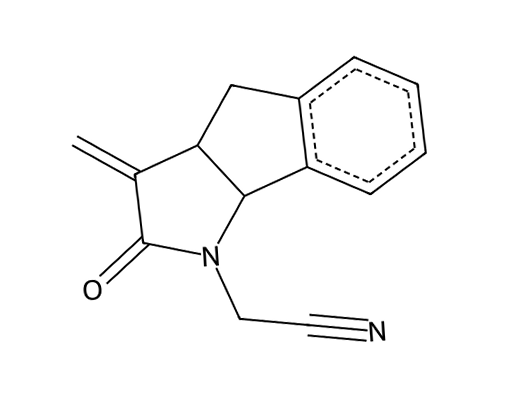 C=C1C(=O)N(CC#N)C2c3ccccc3CC12